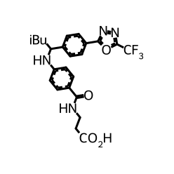 CCC(C)C(Nc1ccc(C(=O)NCCC(=O)O)cc1)c1ccc(-c2nnc(C(F)(F)F)o2)cc1